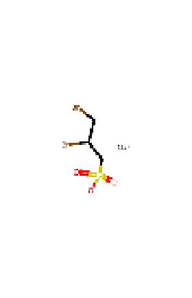 O=S(=O)([O-])CC(Br)CBr.[Na+]